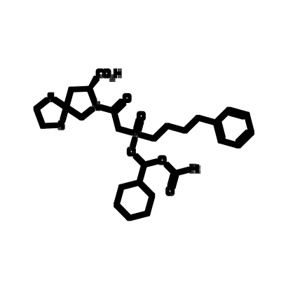 CCC(=O)OC(OP(=O)(CCCCc1ccccc1)CC(=O)N1CC2(C[C@H]1C(=O)O)SCCS2)C1CCCCC1